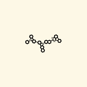 c1ccc(-n2c3ccccc3c3cc(-c4ccc5c(c4)c4cc6ccccc6cc4n5-c4ccc5cc(-c6nc7c8c(cccc8n6)-c6ccccc6-7)ccc5c4)ccc32)cc1